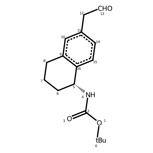 CC(C)(C)OC(=O)N[C@@H]1CCCc2cc(CC=O)ccc21